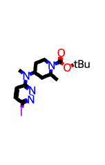 CC1CC(N(C)c2ccc(I)nn2)CCN1C(=O)OC(C)(C)C